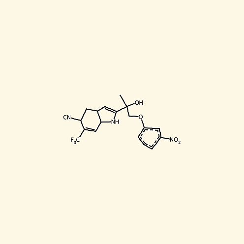 [C-]#[N+]C1CC2C=C(C(C)(O)COc3cccc([N+](=O)[O-])c3)NC2C=C1C(F)(F)F